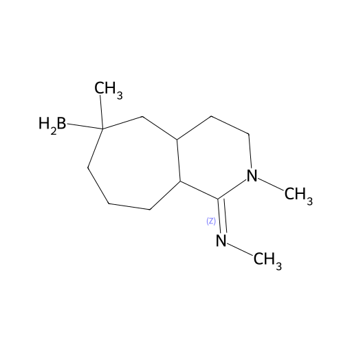 BC1(C)CCCC2/C(=N/C)N(C)CCC2C1